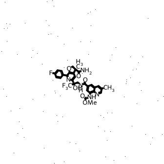 COC(=O)Nc1cc(C(=O)NCC(O)(c2cc3c(c(-c4ccc(F)cc4)n2)OC[C@]3(C)C(N)=O)C(F)(F)F)cc2cc(C)cnc12